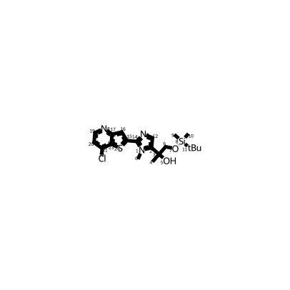 Cn1c(C(C)(O)CO[Si](C)(C)C(C)(C)C)cnc1-c1cc2nccc(Cl)c2s1